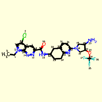 CCn1cc(Cl)c2cc(C(=O)NC3CCc4nc(N5CC(N)C(OC(F)(F)F)C5)ccc4C3)nnc21